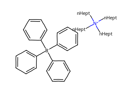 CCCCCCC[N+](CCCCCCC)(CCCCCCC)CCCCCCC.c1ccc([B-](c2ccccc2)(c2ccccc2)c2ccccc2)cc1